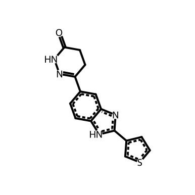 O=C1CCC(c2ccc3[nH]c(-c4ccsc4)nc3c2)=NN1